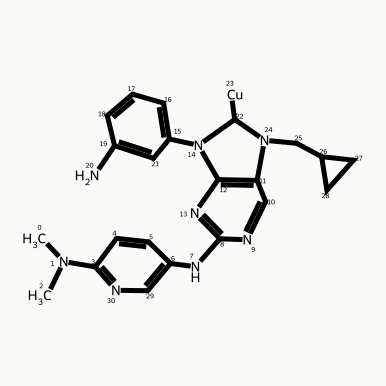 CN(C)c1ccc(Nc2ncc3c(n2)N(c2cccc(N)c2)[CH]([Cu])N3CC2CC2)cn1